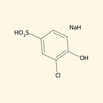 O=S(=O)(O)c1ccc(O)c(Cl)c1.[NaH]